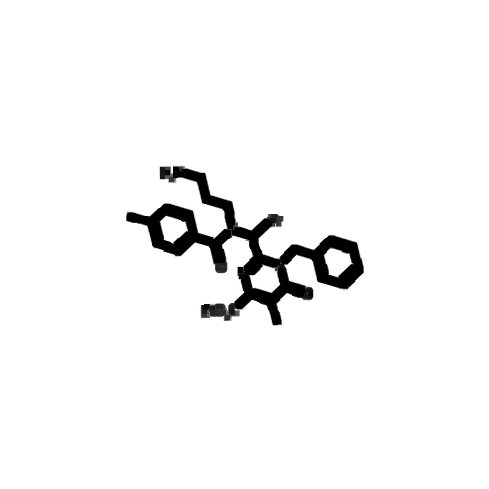 CCOC(=O)c1nc(C(C(C)C)N(CCCN)C(=O)c2ccc(C)cc2)n(Cc2ccccc2)c(=O)c1C